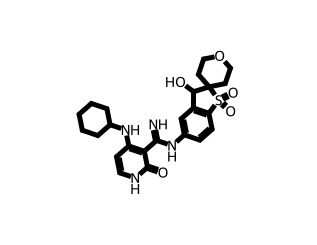 N=C(Nc1ccc2c(c1)C(O)C1(CCOCC1)S2(=O)=O)c1c(NC2CCCCC2)cc[nH]c1=O